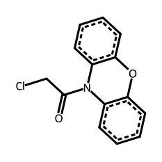 O=C(CCl)N1c2ccccc2Oc2ccccc21